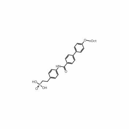 CCCCCCCCOc1ccc(-c2ccc(C(=O)Nc3ccc(CCP(=O)(O)O)cc3)cc2)cc1